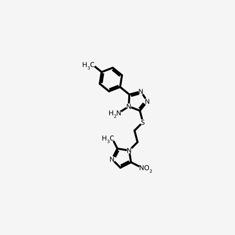 Cc1ccc(-c2nnc(SCCn3c([N+](=O)[O-])cnc3C)n2N)cc1